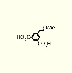 COCCc1cc(C(=O)O)cc(C(=O)O)c1